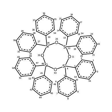 c1ccc([Si]2(c3ccccc3)O[Si](c3ccccc3)(c3ccccc3)O[Si](c3ccccc3)(c3ccccc3)O[Si](c3ccccc3)(c3ccccc3)O2)cc1